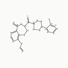 C=CCc1cccc2c1CCC(C(=O)N1CCC(c3ccccc3C)CC1)CC2=O